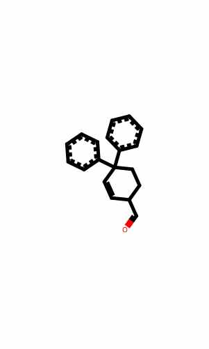 O=CC1C=CC(c2ccccc2)(c2ccccc2)CC1